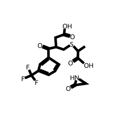 CC(SCC(CC(=O)O)C(=O)c1cccc(C(F)(F)F)c1)C(=O)O.O=C1CN1